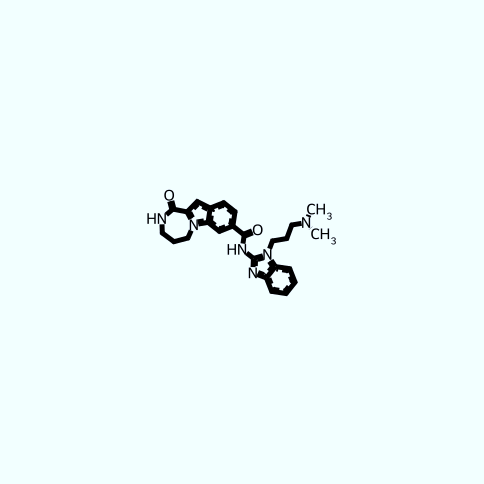 CN(C)CCCn1c(NC(=O)c2ccc3cc4n(c3c2)CCCNC4=O)nc2ccccc21